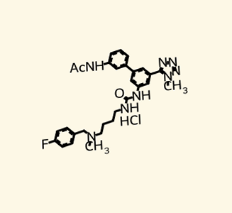 CC(=O)Nc1cccc(-c2cc(NC(=O)NCCCCN(C)Cc3ccc(F)cc3)cc(-c3nnnn3C)c2)c1.Cl